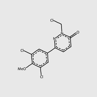 COc1c(Cl)cc(-c2ccc(=O)n(CCl)n2)cc1Cl